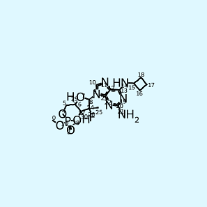 CO[P@]1(=O)OC[C@H]2O[C@@H](n3cnc4c(NC5CCC5)nc(N)nc43)[C@](C)(F)[C@@H]2O1